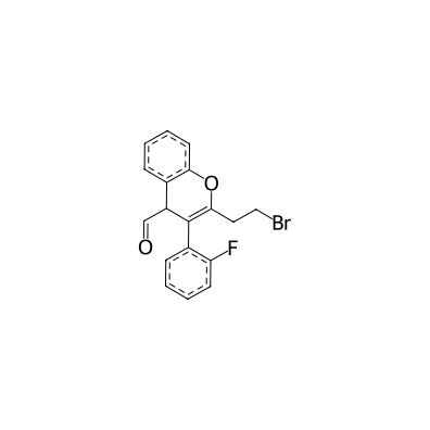 O=CC1C(c2ccccc2F)=C(CCBr)Oc2ccccc21